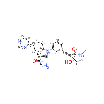 CN1CC[C@@](O)(C#Cc2cccc(-n3nc(C(N)=O)c4c3CCC(c3ccncn3)C4)c2)C1=O